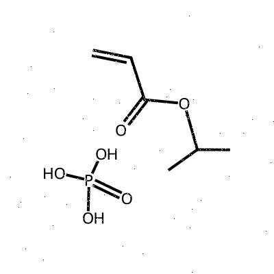 C=CC(=O)OC(C)C.O=P(O)(O)O